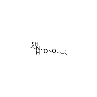 CC(C)CCCOCCOCCNCC(C)S